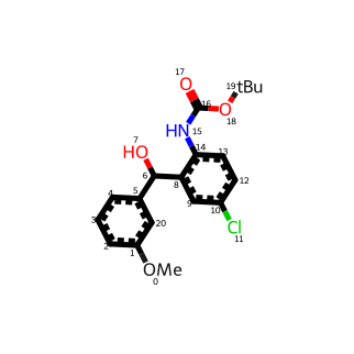 COc1cccc(C(O)c2cc(Cl)ccc2NC(=O)OC(C)(C)C)c1